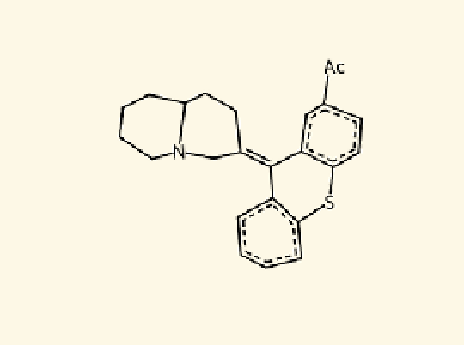 CC(=O)c1ccc2c(c1)/C(=C1\CCC3CCCCN3C1)c1ccccc1S2